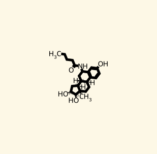 CCCCC(=O)NC1C[C@@H]2[C@H](CC[C@]3(C)[C@@H](O)[C@H](O)C[C@@H]23)c2ccc(O)cc21